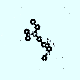 CC1(C)c2cc(-c3ccc(-c4nc(-c5cccc(-c6ccccc6)c5)nc(-n5c6ccccc6c6ccccc65)n4)cc3)ccc2-c2c1ccc1nc(-c3ccccc3)sc21